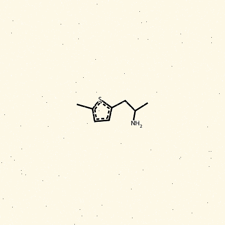 Cc1ccc(CC(C)N)s1